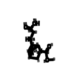 COC(=O)N1CC2C=CC1C(NCC(=O)O)C2